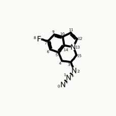 [N-]=[N+]=NC1Cc2cc(F)cc3ccn(c23)C1